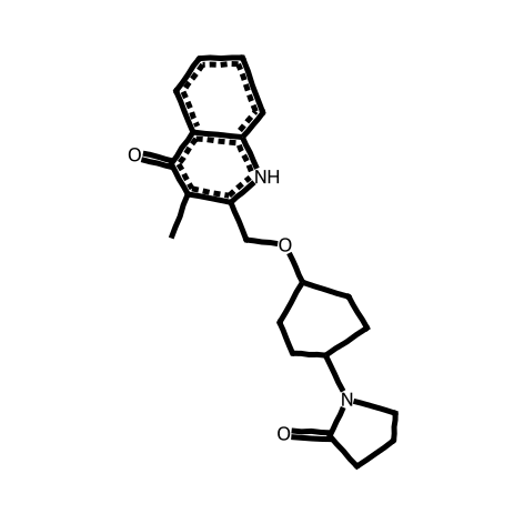 Cc1c(COC2CCC(N3CCCC3=O)CC2)[nH]c2ccccc2c1=O